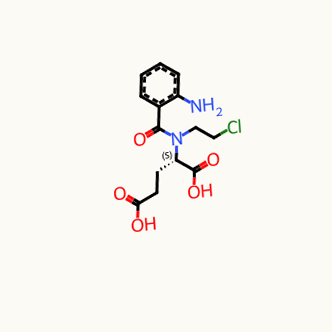 Nc1ccccc1C(=O)N(CCCl)[C@@H](CCC(=O)O)C(=O)O